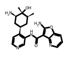 C[C@H]1C[C@@H](c2ccncc2NC(=O)c2c(N)oc3cccnc23)C[C@@H](N)[C@]1(C)O